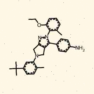 CCOc1cccc(C)c1-n1nc2c(c1-c1ccc(N)cc1)CN(c1cc(C(C)(C)C)ccc1C)C2